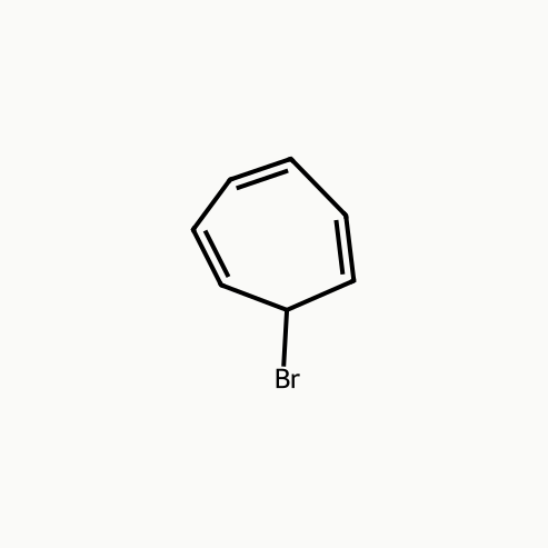 BrC1C=CC=CC=C1